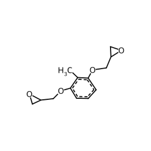 Cc1c(OCC2CO2)cccc1OCC1CO1